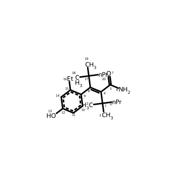 CCCC(C)(C)C(C(N)=O)=C(c1ccc(O)cc1CC)C(C)(C)CCC